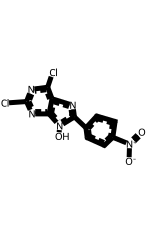 O=[N+]([O-])c1ccc(-c2nc3c(Cl)nc(Cl)nc3n2O)cc1